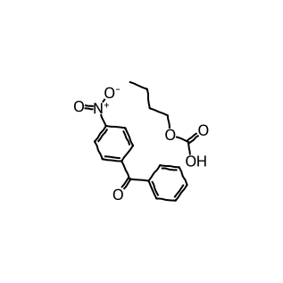 CCCCOC(=O)O.O=C(c1ccccc1)c1ccc([N+](=O)[O-])cc1